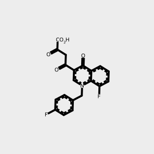 O=C(O)C(=O)CC(=O)c1cn(Cc2ccc(F)cc2)c2c(F)cccc2c1=O